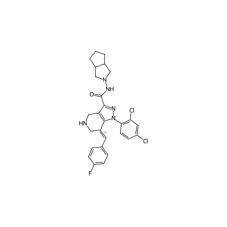 O=C(NN1CC2CCCC2C1)c1nn(-c2ccc(Cl)cc2Cl)c2c1CNC/C2=C\c1ccc(F)cc1